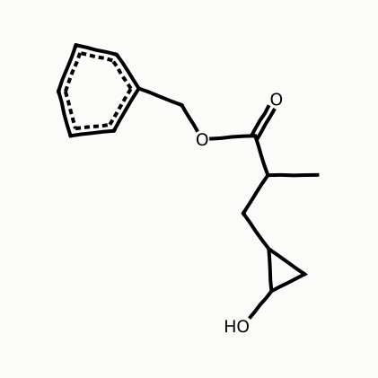 CC(CC1CC1O)C(=O)OCc1ccccc1